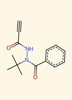 C#CC(=O)NN(C(=O)c1ccccc1)C(C)(C)C